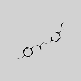 CCOC(=O)/C=C\C(=O)OCC(=O)Oc1ccc(OC)cc1